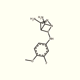 COc1ccc(NN2C3C(N)=NN2C3N)cc1F